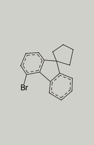 Brc1cccc2c1-c1ccccc1C21CCCC1